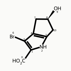 O=C(O)c1[nH]c2c(c1Br)C[C@@H](O)C2